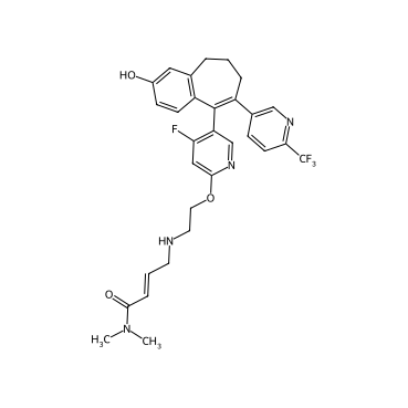 CN(C)C(=O)/C=C/CNCCOc1cc(F)c(C2=C(c3ccc(C(F)(F)F)nc3)CCCc3cc(O)ccc32)cn1